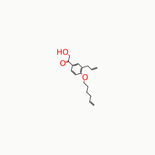 C=CCCCCOc1ccc(C(=O)CO)cc1CC=C